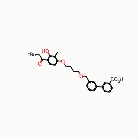 Cc1c(OCCCCOCc2cccc(-c3cccc(C(=O)O)c3)c2)ccc(C(=O)CC(C)(C)C)c1O